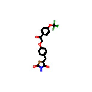 O=C1NC(=O)C(CC2=CC=C(OCC(=O)c3ccc(OC(F)(F)F)cc3)CC2)S1